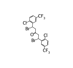 O=C(CC(Br)c1cc(C(F)(F)F)ccc1Cl)CC(Br)c1cc(C(F)(F)F)ccc1Cl